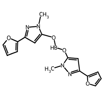 Cn1nc(-c2ccco2)cc1OBOc1cc(-c2ccco2)nn1C